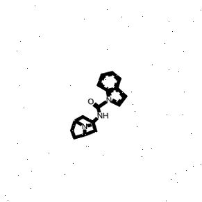 CN1C2CCC1CC(NC(=O)n1ccc3ccccc31)C2